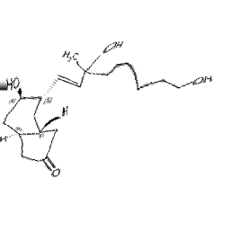 CC(O)(C=C[C@@H]1[C@@H]2CC(=O)C[C@H]2C[C@H]1O)CCCCCO